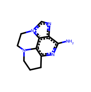 Nc1nc2c3c4c1ncn4CCN3CCC2